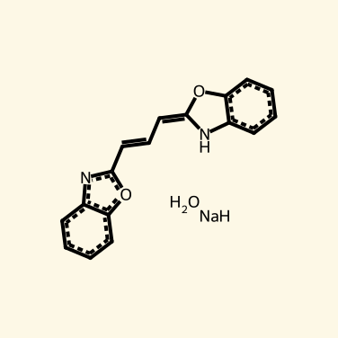 C(=Cc1nc2ccccc2o1)C=C1Nc2ccccc2O1.O.[NaH]